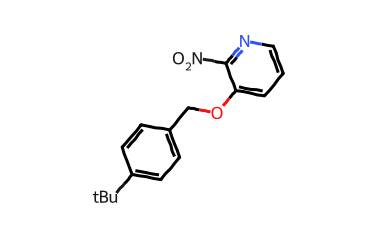 CC(C)(C)c1ccc(COc2cccnc2[N+](=O)[O-])cc1